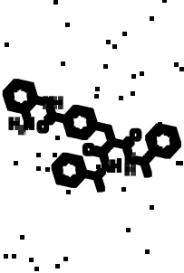 CC(NC(=O)C(Cc1ccc(C(=O)Nc2ccccc2N)cc1)C(=O)NC(C)c1ccccc1)c1ccccc1